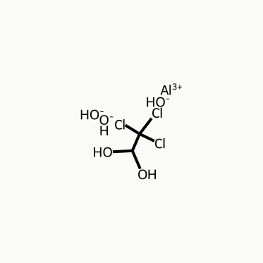 OC(O)C(Cl)(Cl)Cl.[Al+3].[OH-].[OH-].[OH-]